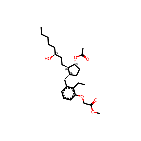 CCCCC[C@H](O)CC[C@@H]1[C@@H](Cc2cccc(OCC(=O)OC)c2CC)CC[C@H]1OC(C)=O